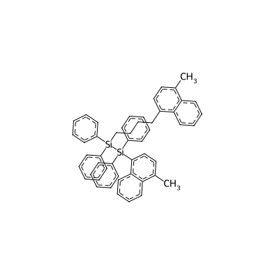 Cc1ccc(CCCC[Si](c2ccccc2)(c2ccccc2)[Si](c2ccccc2)(c2ccccc2)c2ccc(C)c3ccccc23)c2ccccc12